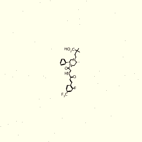 C[C@@H]1CN(C(=O)CNC(=O)/C=C/c2ccc(C(F)(F)F)cc2F)[C@@H](c2ccccc2)CN1CCC(C)(C)C(=O)O